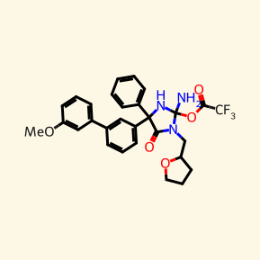 COc1cccc(-c2cccc(C3(c4ccccc4)NC(N)(OC(=O)C(F)(F)F)N(CC4CCCO4)C3=O)c2)c1